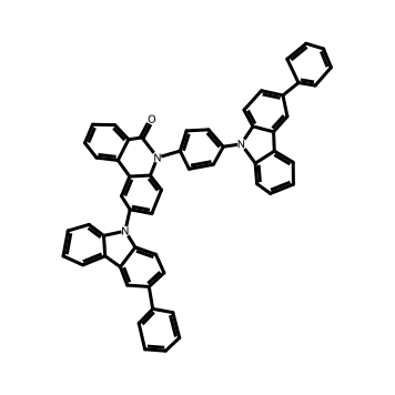 O=c1c2ccccc2c2cc(-n3c4ccccc4c4cc(-c5ccccc5)ccc43)ccc2n1-c1ccc(-n2c3ccccc3c3cc(-c4ccccc4)ccc32)cc1